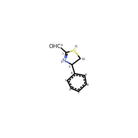 O=CC1=NC(c2ccccc2)CS1